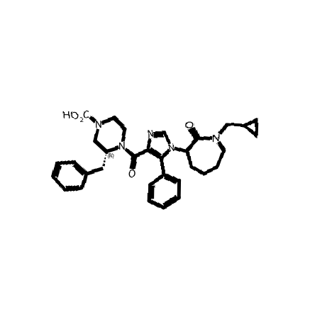 O=C(O)N1CCN(C(=O)c2ncn(C3CCCCN(CC4CC4)C3=O)c2-c2ccccc2)[C@H](Cc2ccccc2)C1